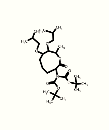 CC(C)COC1CCCC(N(C(=O)OC(C)(C)C)C(=O)OC(C)(C)C)C(=O)OC(C)C1OCC(C)C